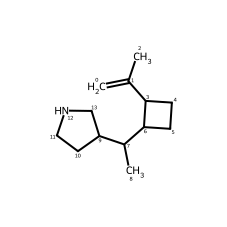 C=C(C)C1CCC1C(C)C1CCNC1